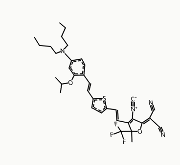 [C-]#[N+]C1=C(/C=C/c2ccc(/C=C/c3ccc(N(CCCC)CCCC)cc3OC(C)C)s2)C(C)(C(F)(F)F)OC1=C(C#N)C#N